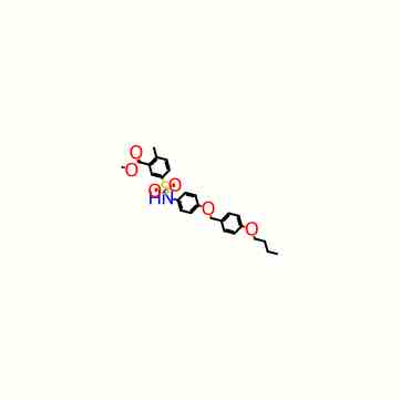 CCCCOc1ccc(COc2ccc(NS(=O)(=O)c3ccc(C)c(C(=O)OC)c3)cc2)cc1